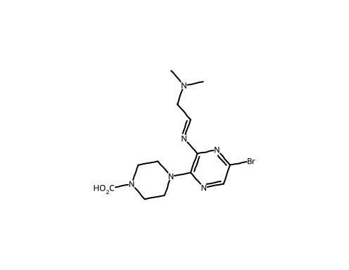 CN(C)CC=Nc1nc(Br)cnc1N1CCN(C(=O)O)CC1